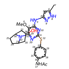 COc1c(Nc2cc(C)[nH]n2)nc(Sc2ccc(NC(C)=O)cc2)nc1N1C2CCC1CC(O)C2